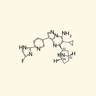 Nc1c(C2CC2)c([C@@H]2C[C@H]3CC[C@@H](C2)N3)nc2c(-c3ccc(-c4nc(F)c[nH]4)nc3)cnn12